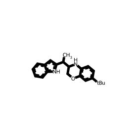 CC(c1cc2ccccc2[nH]1)C1COc2cc(C(C)(C)C)ccc2N1